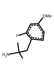 COc1ccc(CC(C)(C)N)c(F)c1